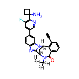 [2H]C([2H])([2H])N1C(=O)c2cccc(C#C)c2[C@H]2C[C@@H]1c1nc3ccc(-c4cnc(C5(N)CCC5)c(F)c4)cc3n12